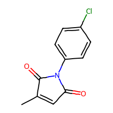 CC1=CC(=O)N(c2ccc(Cl)cc2)C1=O